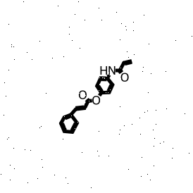 C=CC(=O)Nc1ccc(OC(=O)/C=C/c2ccccc2)cc1